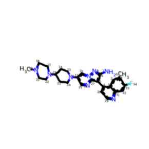 Cc1cc2c(-c3c(N)nn4cc(N5CCC(N6CCN(C)CC6)CC5)cnc34)ccnc2cc1F